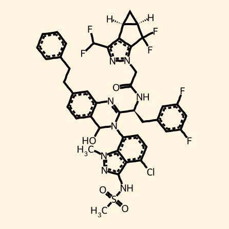 Cn1nc(NS(C)(=O)=O)c2c(Cl)ccc(N3C([C@H](Cc4cc(F)cc(F)c4)NC(=O)Cn4nc(C(F)F)c5c4C(F)(F)[C@@H]4C[C@H]54)=Nc4cc(CCc5ccccc5)ccc4C3O)c21